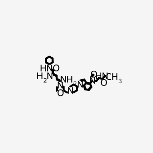 CNC(=O)CCN(C=O)c1cccc2c1ccn2C1CCN(CC2CN(/C(N)=C/C=C(\N)C(=O)NC3CCCCC3)CCO2)CC1